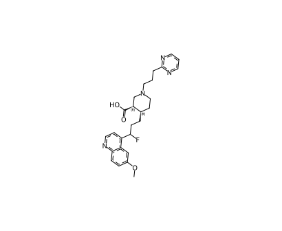 COc1ccc2nccc(C(F)CC[C@@H]3CCN(CCCc4ncccn4)C[C@@H]3C(=O)O)c2c1